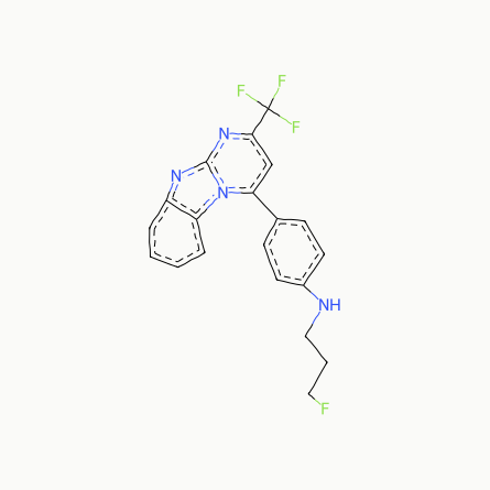 FCCCNc1ccc(-c2cc(C(F)(F)F)nc3nc4ccccc4n23)cc1